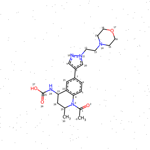 CC(=O)N1c2ccc(-c3cnn(CCN4CCOCC4)c3)cc2C(NC(=O)O)CC1C